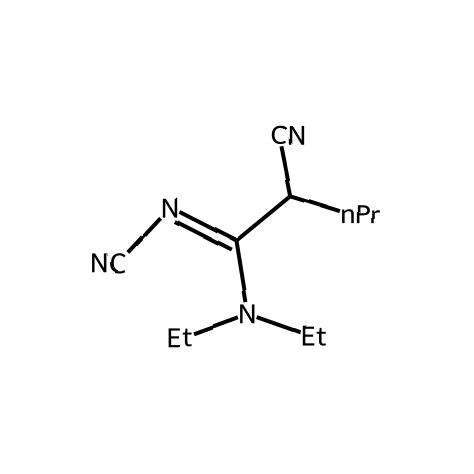 CCCC(C#N)C(=NC#N)N(CC)CC